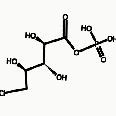 O=C(OP(=O)(O)O)[C@H](O)[C@H](O)[C@H](O)CCl